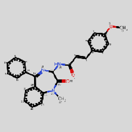 COc1ccc(C=CC(=O)N[C@@H]2N=C(c3ccccc3)c3ccccc3N(C)C2=O)cc1